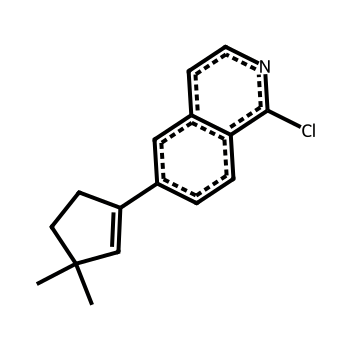 CC1(C)C=C(c2ccc3c(Cl)nccc3c2)CC1